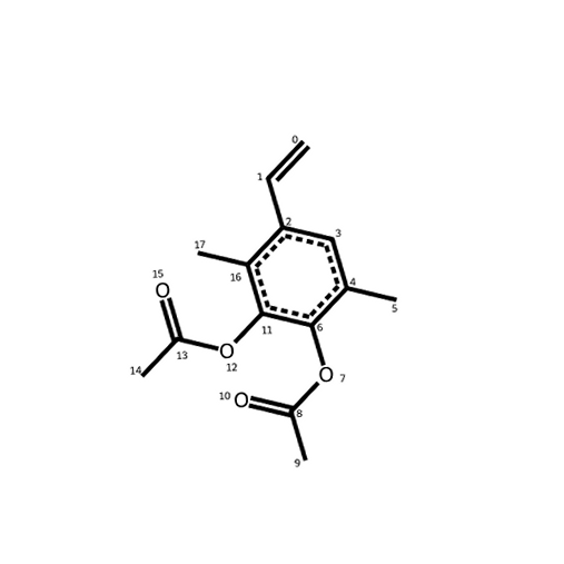 C=Cc1cc(C)c(OC(C)=O)c(OC(C)=O)c1C